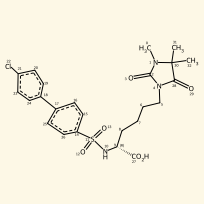 CN1C(=O)N(CCCC[C@@H](NS(=O)(=O)c2ccc(-c3ccc(Cl)cc3)cc2)C(=O)O)C(=O)C1(C)C